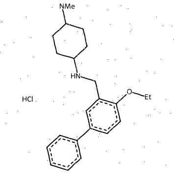 CCOc1ccc(-c2ccccc2)cc1CNC1CCC(NC)CC1.Cl